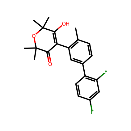 Cc1ccc(-c2ccc(F)cc2F)cc1C1=C(O)C(C)(C)OC(C)(C)C1=O